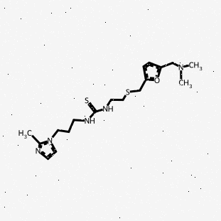 Cc1nccn1CCCNC(=S)NCCSCc1ccc(CN(C)C)o1